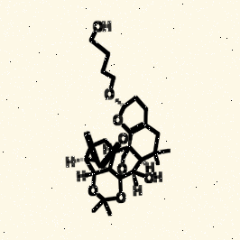 C=C1C(=O)[C@@]23[C@@H]4OC(C)(C)OC25OC[C@]2(C6=C(CC[C@@H](OCCCCO)O6)CC(C)(C)[C@H]2[C@@H]5O)[C@@H]3CC[C@@H]14